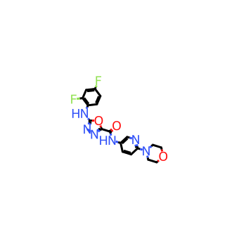 O=C(Nc1ccc(N2CCOCC2)nc1)c1nnc(Nc2ccc(F)cc2F)o1